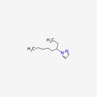 CCCCCC(CC)n1cccn1